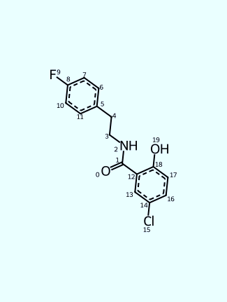 O=C(NCCc1ccc(F)cc1)c1cc(Cl)ccc1O